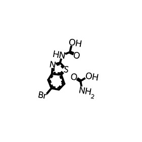 NC(=O)O.O=C(O)Nc1nc2cc(Br)ccc2s1